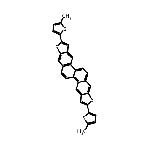 Cc1ccc(-c2cc3cc4c(ccc5c6cc7cc(-c8ccc(C)s8)sc7cc6ccc45)cc3s2)s1